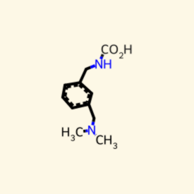 CN(C)Cc1cccc(CNC(=O)O)c1